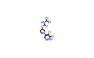 CCC(CC)NC(=O)OC1CCN(c2cn[nH]c(=O)c2Cl)C1